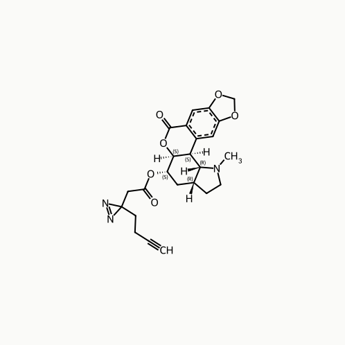 C#CCCC1(CC(=O)O[C@H]2C[C@H]3CCN(C)[C@H]3[C@@H]3c4cc5c(cc4C(=O)O[C@@H]32)OCO5)N=N1